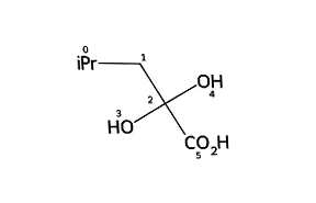 CC(C)CC(O)(O)C(=O)O